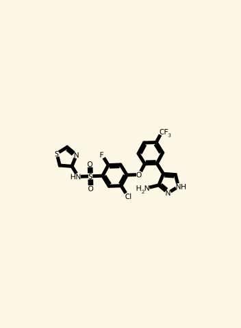 Nc1n[nH]cc1-c1cc(C(F)(F)F)ccc1Oc1cc(F)c(S(=O)(=O)NC2CSC=N2)cc1Cl